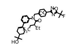 CC[C@@H](CC(F)(F)F)C(=O)N(CC12CCC(c3noc(C(C)(C)F)n3)(CC1)CC2)c1cccc(C2=CCC(C(C)(C)O)CC2)c1